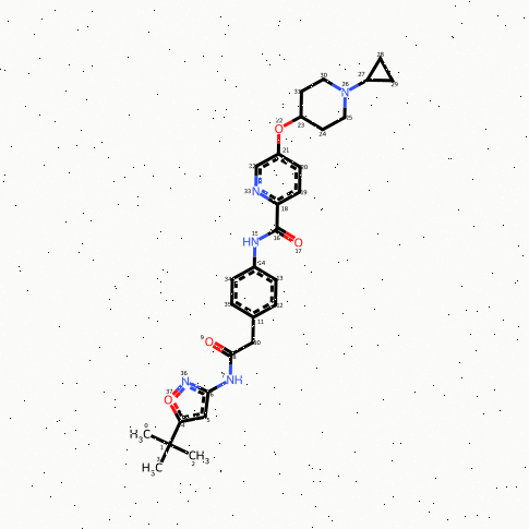 CC(C)(C)c1cc(NC(=O)Cc2ccc(NC(=O)c3ccc(OC4CCN(C5CC5)CC4)cn3)cc2)no1